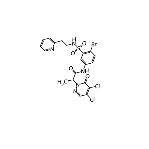 C[C@@H](C(=O)Nc1ccc(Br)c(S(=O)(=O)NCCc2ccccn2)c1)n1ncc(Cl)c(Cl)c1=O